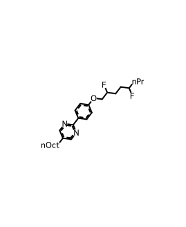 CCCCCCCCc1cnc(-c2ccc(OCC(F)CCC(F)CCC)cc2)nc1